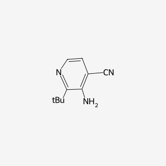 CC(C)(C)c1nccc(C#N)c1N